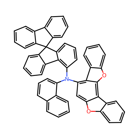 c1ccc2c(c1)-c1ccccc1C21c2ccccc2-c2c(N(c3cccc4ccccc34)c3cc4oc5ccccc5c4c4oc5ccccc5c34)cccc21